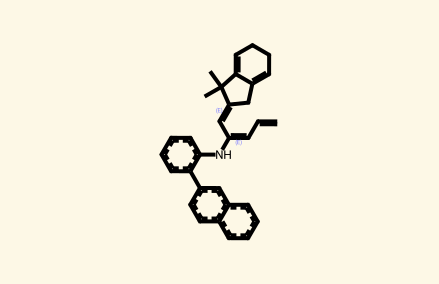 C=C/C=C(\C=C1/CC2=CCCC=C2C1(C)C)Nc1ccccc1-c1ccc2ccccc2c1